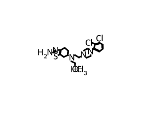 CCCN(CCN1CCN(c2cccc(Cl)c2Cl)CC1)[C@H]1CCc2nc(N)sc2C1.Cl